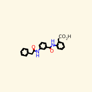 O=C(O)Cc1ccccc1NC(=O)c1cccc(NC(=O)Cc2ccccc2)c1